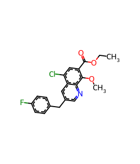 CCOC(=O)c1cc(Cl)c2cc(Cc3ccc(F)cc3)cnc2c1OC